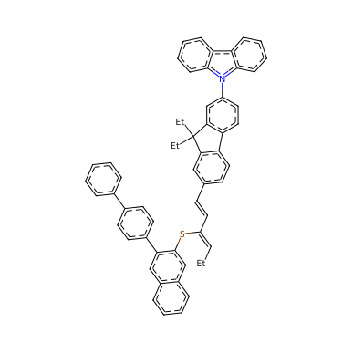 CC/C=C(/C=C/c1ccc2c(c1)C(CC)(CC)c1cc(-n3c4ccccc4c4ccccc43)ccc1-2)Sc1cc2ccccc2cc1-c1ccc(-c2ccccc2)cc1